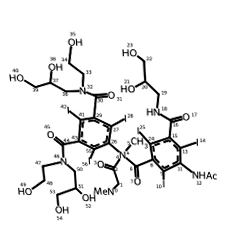 CNCC(=O)[N+](C)(C(=O)c1c(I)c(NC(C)=O)c(I)c(C(=O)NCC(O)CO)c1I)c1c(I)c(C(=O)N(CCO)CC(O)CO)c(I)c(C(=O)N(CCO)CC(O)CO)c1I